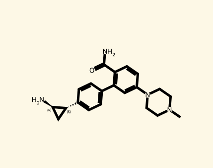 CN1CCN(c2ccc(C(N)=O)c(-c3ccc([C@@H]4C[C@H]4N)cc3)c2)CC1